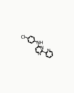 Clc1ccc(Nc2ccnc(-c3ccccn3)n2)cc1